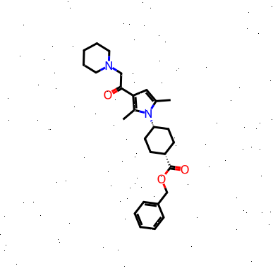 Cc1cc(C(=O)CN2CCCCC2)c(C)n1[C@H]1CC[C@@H](C(=O)OCc2ccccc2)CC1